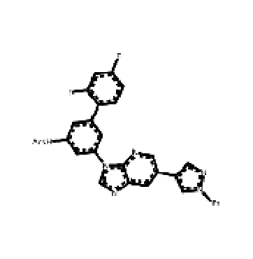 CC(=O)Nc1cc(-c2ccc(F)cc2F)cc(-n2cnc3cc(-c4cnn(C(C)C)c4)cnc32)c1